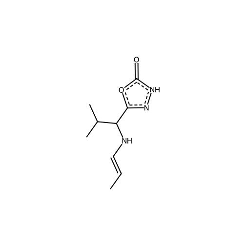 CC=CNC(c1n[nH]c(=O)o1)C(C)C